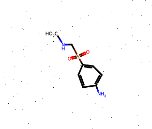 Nc1ccc(S(=O)(=O)CNC(=O)O)cc1